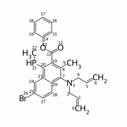 C=CCN(CC=C)c1c(C)c(C(=O)Oc2ccccc2)c(PC)c2cc(Br)ccc12